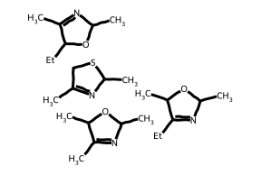 CC1=NC(C)OC1C.CC1=NC(C)SC1.CCC1=NC(C)OC1C.CCC1OC(C)N=C1C